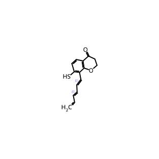 C=C/C=C/C=C/c1c(S)ccc2c1OCCC2=O